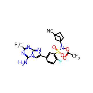 N#CC12CCC(N(OC(=O)C(F)(F)F)S(=O)(=O)c3cc(-c4cn5c(N)nc(C(F)(F)F)nc5n4)ccc3F)(C1)C2